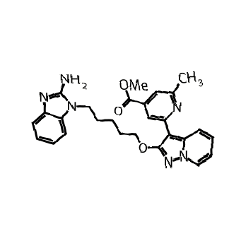 COC(=O)c1cc(C)nc(-c2c(OCCCCCn3c(N)nc4ccccc43)nn3ccccc23)c1